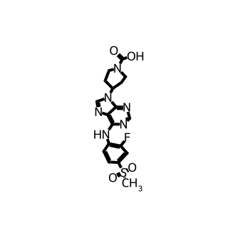 CS(=O)(=O)c1ccc(Nc2ncnc3c2ncn3C2CCN(C(=O)O)CC2)c(F)c1